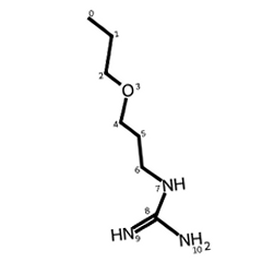 CCCOCCCNC(=N)N